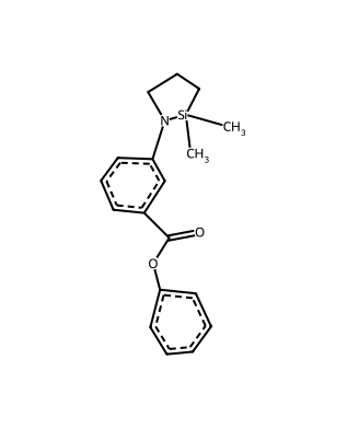 C[Si]1(C)CCCN1c1cccc(C(=O)Oc2ccccc2)c1